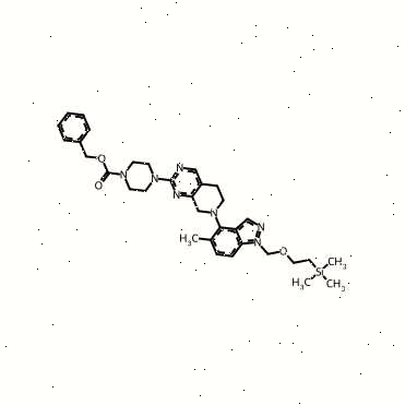 Cc1ccc2c(cnn2COCC[Si](C)(C)C)c1N1CCc2cnc(N3CCN(C(=O)OCc4ccccc4)CC3)nc2C1